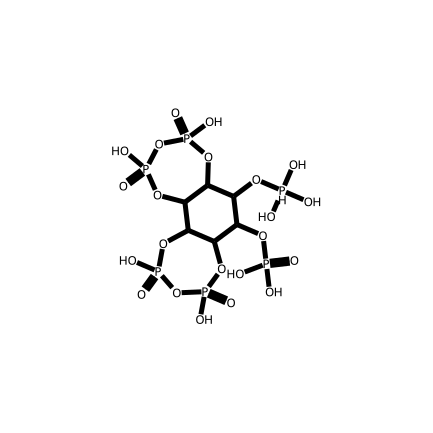 O=P(O)(O)OC1C2OP(=O)(O)OP(=O)(O)OC2C2OP(=O)(O)OP(=O)(O)OC2C1O[PH](O)(O)O